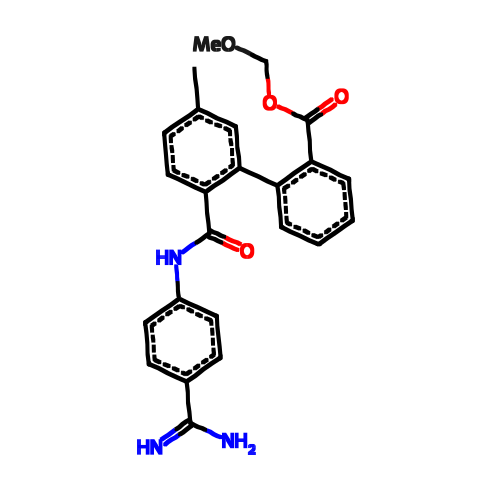 COCOC(=O)c1ccccc1-c1cc(C)ccc1C(=O)Nc1ccc(C(=N)N)cc1